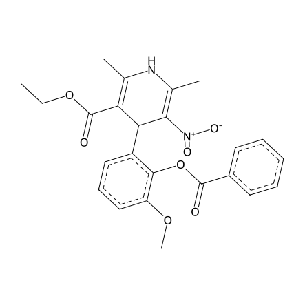 CCOC(=O)C1=C(C)NC(C)=C([N+](=O)[O-])C1c1cccc(OC)c1OC(=O)c1ccccc1